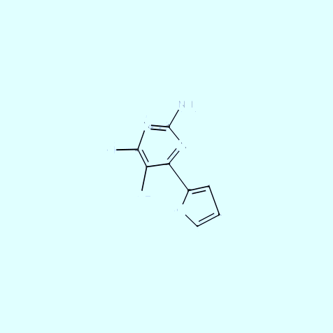 Cc1c(Cl)nc(N)nc1-c1ccco1